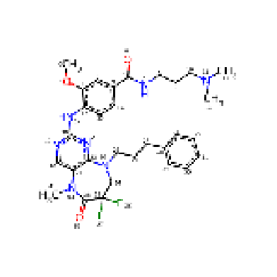 COc1cc(C(=O)NCCCN(C)C)ccc1Nc1ncc2c(n1)N(CCCc1ccccc1)CC(F)(F)C(=O)N2C